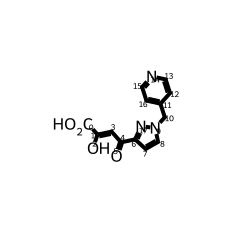 O=C(O)C(O)=CC(=O)c1ccn(Cc2ccncc2)n1